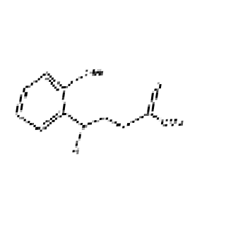 CCC(CCC(=O)OC)c1ccccc1OC